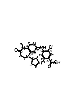 CN1C(=O)CCN(C2CCCC2)c2nc(Nc3cc(F)c(C(=O)O)cc3Cl)ncc21